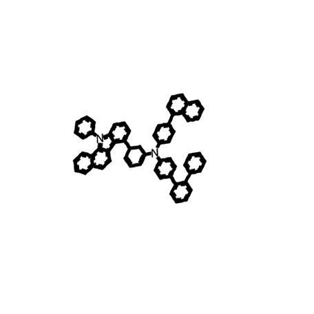 C1=CC(c2cccc3c2c2ccc4ccccc4c2n3-c2ccccc2)CC(N(c2ccc(-c3ccccc3-c3ccccc3)cc2)c2ccc(-c3cccc4ccccc34)cc2)=C1